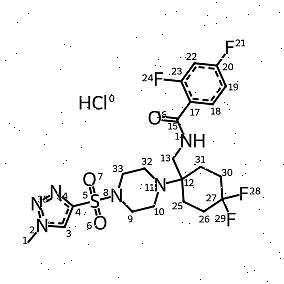 Cl.Cn1cc(S(=O)(=O)N2CCN(C3(CNC(=O)c4ccc(F)cc4F)CCC(F)(F)CC3)CC2)nn1